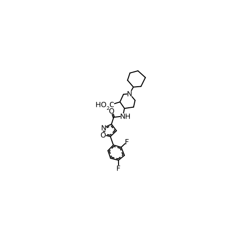 O=C(NC1CCN(C2CCCCC2)CC1C(=O)O)c1cc(-c2ccc(F)cc2F)on1